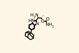 C[C@H](OC(N)=O)[C@H](N)c1nc2cc(C34CC5CC(CC(C5)C3)C4)ccc2[nH]1